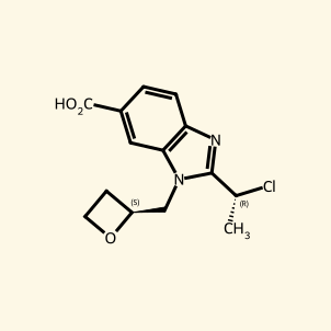 C[C@@H](Cl)c1nc2ccc(C(=O)O)cc2n1C[C@@H]1CCO1